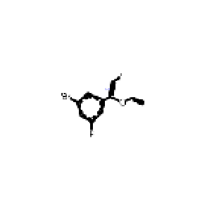 C=CO/C(=C\I)c1cc(F)cc(Br)c1